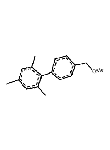 COCc1ccc(-c2c(C)cc(C)cc2C)cc1